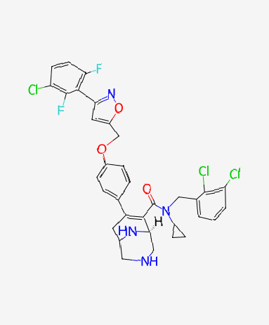 O=C(C1=C(c2ccc(OCc3cc(-c4c(F)ccc(Cl)c4F)no3)cc2)CC2CNC[C@H]1N2)N(Cc1cccc(Cl)c1Cl)C1CC1